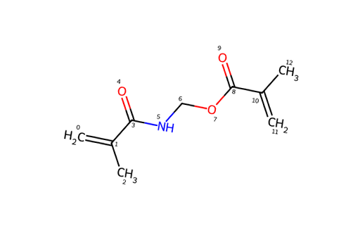 C=C(C)C(=O)NCOC(=O)C(=C)C